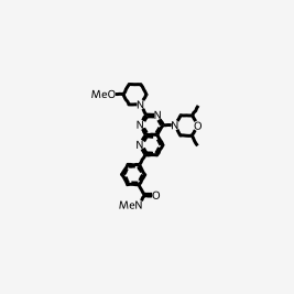 CNC(=O)c1cccc(-c2ccc3c(N4CC(C)OC(C)C4)nc(N4CCCC(OC)C4)nc3n2)c1